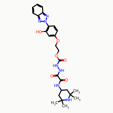 CC1(C)CC(NC(=O)C(=O)NNC(=O)OCCOc2ccc(-n3nc4ccccc4n3)c(O)c2)CC(C)(C)N1